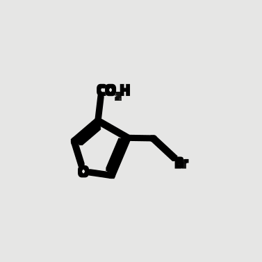 O=C(O)c1cocc1CBr